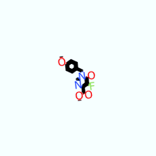 COC(=O)c1ncn(Cc2ccc(OC)cc2)c(=O)c1F